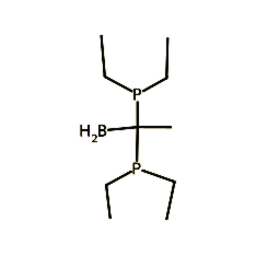 BC(C)(P(CC)CC)P(CC)CC